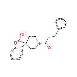 O=C(CCc1ccccc1)N1CCC(C(=O)O)(c2ccccc2)CC1